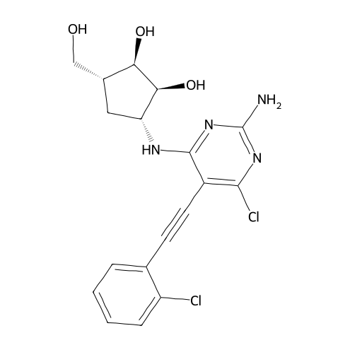 Nc1nc(Cl)c(C#Cc2ccccc2Cl)c(N[C@@H]2C[C@H](CO)[C@@H](O)[C@H]2O)n1